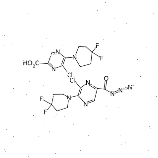 O=C(O)c1cnc(N2CCC(F)(F)CC2)c(Cl)n1.[N-]=[N+]=NC(=O)c1cnc(N2CCC(F)(F)CC2)c(Cl)n1